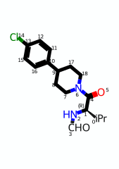 CC(C)[C@@H](NC=O)C(=O)N1CCC(c2ccc(Cl)cc2)CC1